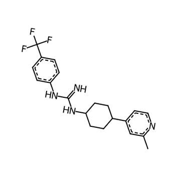 Cc1cc(C2CCC(NC(=N)Nc3ccc(C(F)(F)F)cc3)CC2)ccn1